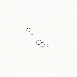 COc1ccc2cc(CN3CCN(c4nccs4)CC3)ccc2c1